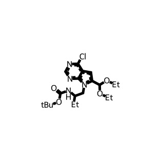 CCOC(OCC)c1cc2c(Cl)ncnc2n1CC(CC)NC(=O)OC(C)(C)C